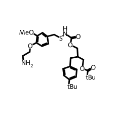 COc1cc(CSNC(=O)OCC(COC(=O)C(C)(C)C)Cc2ccc(C(C)(C)C)cc2)ccc1OCCN